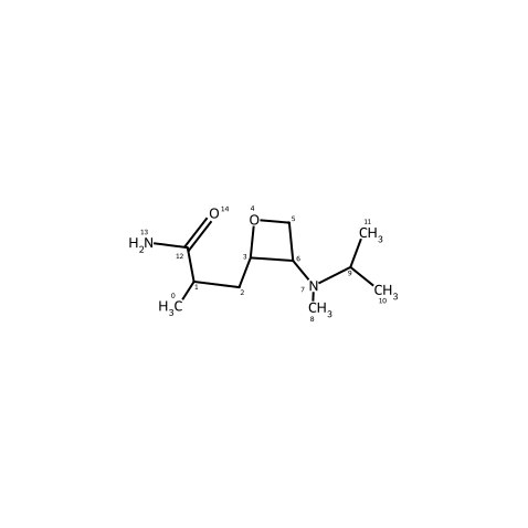 CC(CC1OCC1N(C)C(C)C)C(N)=O